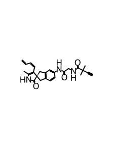 C#CC(C)(C)C(=O)NCC(=O)Nc1ccc2c(c1)C[C@@]1(C2)C(=O)NC(C)=C1/C=C\C=C